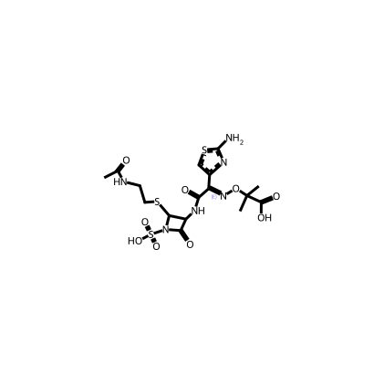 CC(=O)NCCSC1C(NC(=O)/C(=N/OC(C)(C)C(=O)O)c2csc(N)n2)C(=O)N1S(=O)(=O)O